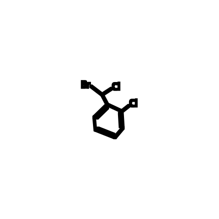 Clc1ccccc1C(Cl)Br